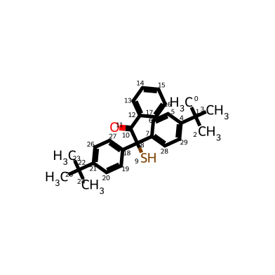 CC(C)(C)c1ccc(C(S)(C(=O)c2ccccc2)c2ccc(C(C)(C)C)cc2)cc1